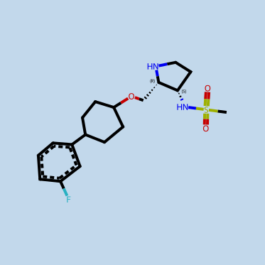 CS(=O)(=O)N[C@H]1CCN[C@H]1COC1CCC(c2cccc(F)c2)CC1